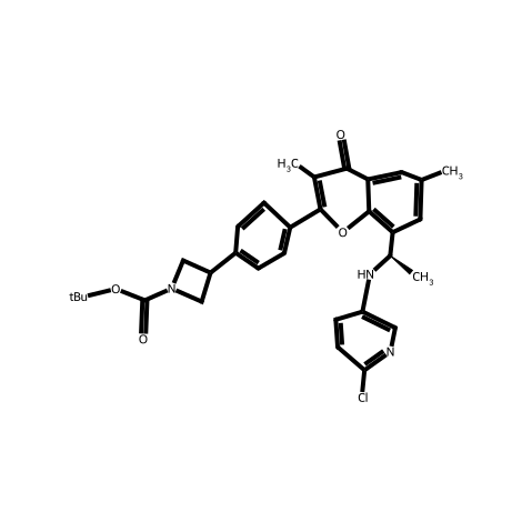 Cc1cc([C@@H](C)Nc2ccc(Cl)nc2)c2oc(-c3ccc(C4CN(C(=O)OC(C)(C)C)C4)cc3)c(C)c(=O)c2c1